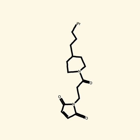 CC(C)CCCC1CCN(C(=O)CCN2C(=O)C=CC2=O)CC1